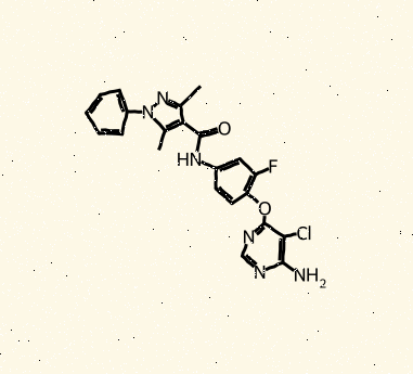 Cc1nn(-c2ccccc2)c(C)c1C(=O)Nc1ccc(Oc2ncnc(N)c2Cl)c(F)c1